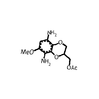 COc1cc(N)c2c(c1N)OC(COC(C)=O)CO2